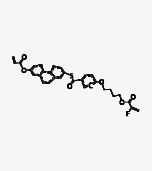 C=CC(=O)Oc1ccc2c(ccc3cc(SC(=O)c4ccc(OCCCCOC(=O)C(=C)F)cc4)ccc32)c1